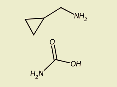 NC(=O)O.NCC1CC1